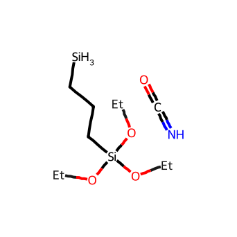 CCO[Si](CCC[SiH3])(OCC)OCC.N=C=O